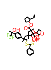 C=CC1CCCC1OC(=O)C(C)(CC(C)(CC(C)(CSC(=S)c1ccccc1)c1ccc(C(C)(O)C(F)(F)F)cc1)C(=O)OC1CCOC1=O)C(C)(C)C(=O)O